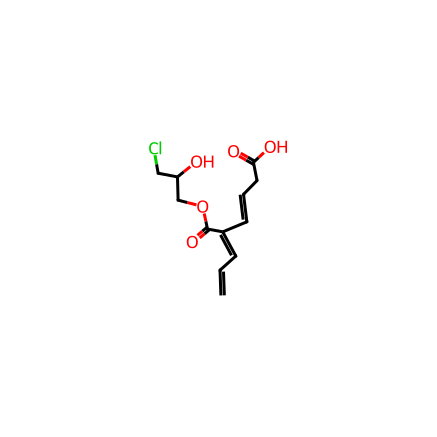 C=CC=C(C=CCC(=O)O)C(=O)OCC(O)CCl